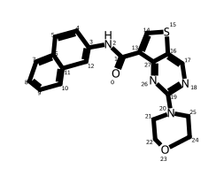 O=C(Nc1ccc2ccccc2c1)c1csc2cnc(N3CCOCC3)nc12